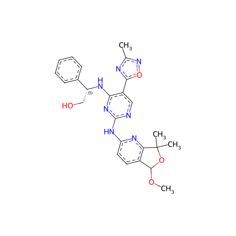 COC1OC(C)(C)c2nc(Nc3ncc(-c4nc(C)no4)c(N[C@H](CO)c4ccccc4)n3)ccc21